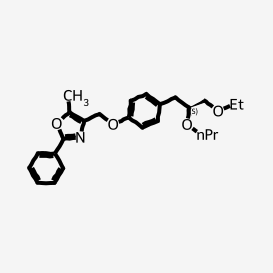 CCCO[C@H](COCC)Cc1ccc(OCc2nc(-c3ccccc3)oc2C)cc1